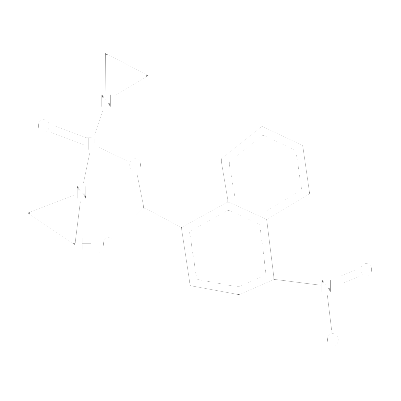 CC(OP(=O)(N1CC1)N1CC1)c1ccc([N+](=O)[O-])c2ccccc12